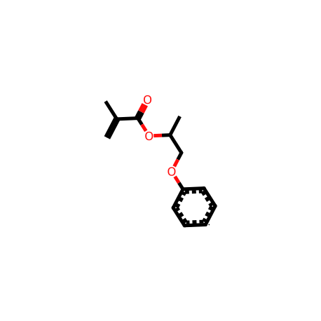 C=C(C)C(=O)OC(C)COc1cc[c]cc1